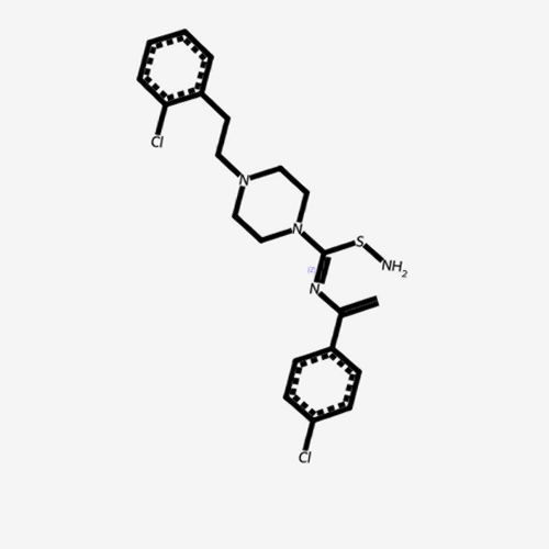 C=C(/N=C(\SN)N1CCN(CCc2ccccc2Cl)CC1)c1ccc(Cl)cc1